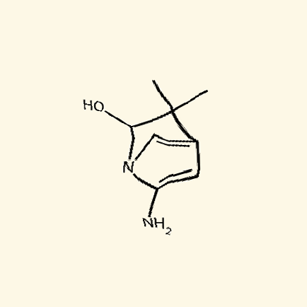 CC1(C)c2cc(N)n(c2)C1O